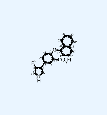 O=C(O)c1cc(-c2c[nH]nc2F)ccc1Oc1cccc2ccccc12